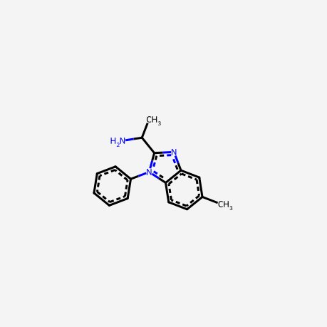 Cc1ccc2c(c1)nc(C(C)N)n2-c1ccccc1